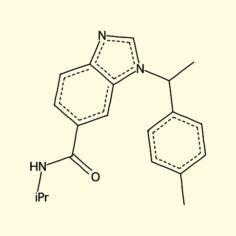 Cc1ccc(C(C)n2cnc3ccc(C(=O)NC(C)C)cc32)cc1